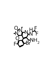 Cn1c(=O)c2c(-c3cc(F)ccc3Br)c(CN)c(NCC(F)F)nc2n(C)c1=O